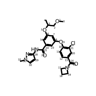 COCC(C)Oc1cc(Oc2ccc(C(=O)N3CCC3)cc2Cl)cc(C(=O)Nc2ccn(C)n2)c1